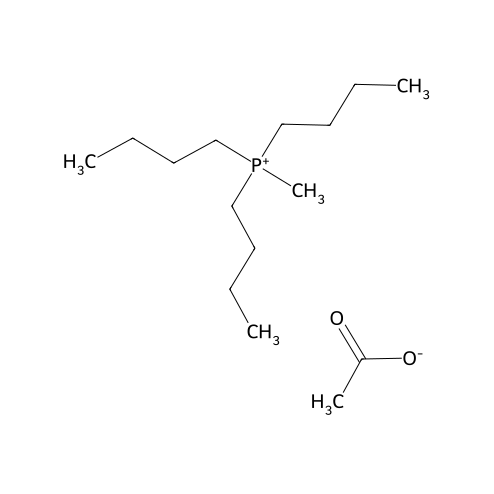 CC(=O)[O-].CCCC[P+](C)(CCCC)CCCC